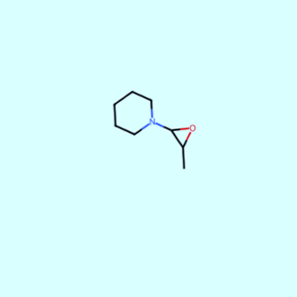 CC1OC1N1CCCCC1